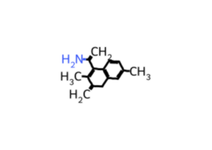 C=C(N)C1=C(C)C(=C)Cc2cc(C)ccc21